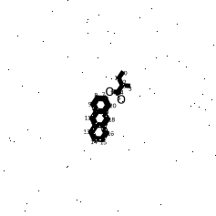 CCC(C)C(=O)Oc1ccc2cc3ccccc3cc2c1